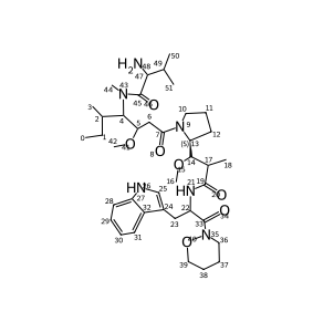 CCC(C)C(C(CC(=O)N1CCC[C@H]1C(OC)C(C)C(=O)NC(Cc1c[nH]c2ccccc12)C(=O)N1CCCCO1)OC)N(C)C(=O)C(N)C(C)C